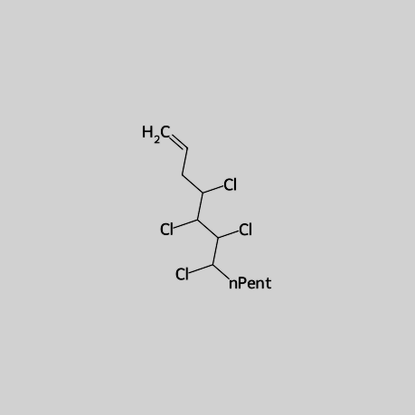 C=CCC(Cl)C(Cl)C(Cl)C(Cl)CCCCC